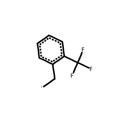 [CH]Cc1ccccc1C(F)(F)F